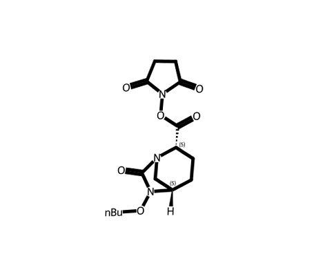 CCCCON1C(=O)N2C[C@@H]1CC[C@H]2C(=O)ON1C(=O)CCC1=O